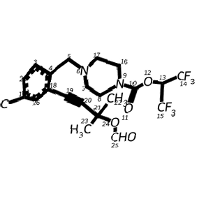 Cc1ccc(CN2CCN(C(=O)OC(C(F)(F)F)C(F)(F)F)CC2)c(C#CC(C)(C)OC=O)c1